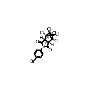 O=C1[C@@H]2[C@H](C(=O)N1c1ccc(Br)cc1)[C@]1(Cl)C(Cl)=C(Cl)[C@@]2(Cl)C1(Cl)Cl